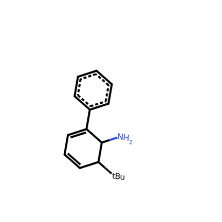 CC(C)(C)C1C=CC=C(c2ccccc2)C1N